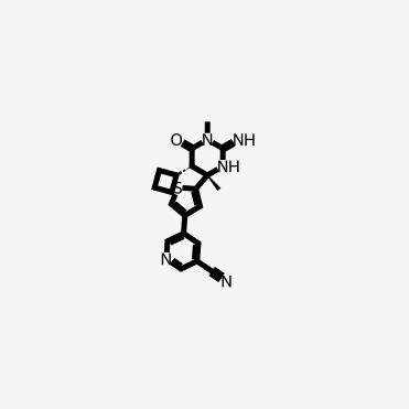 CN1C(=N)N[C@](C)(c2cc(-c3cncc(C#N)c3)cs2)[C@H](C2CCC2)C1=O